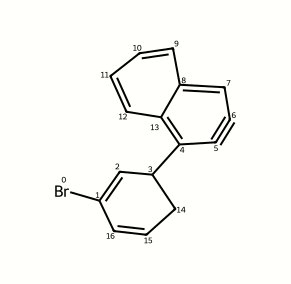 BrC1=CC(c2c#ccc3ccccc23)CC=C1